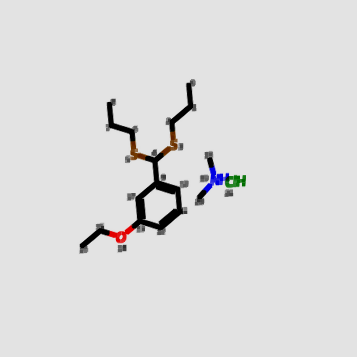 CCCSC(SCCC)c1cccc(OCC)c1.CNC.Cl